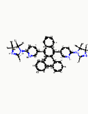 CC1=NC(C)(C)C(C)(C)N1c1ccc(-c2c3ccccc3c(-c3ccc(N4C(C)=NC(C)(C)C4(C)C)nc3)c3c4ccccc4c4ccccc4c23)cn1